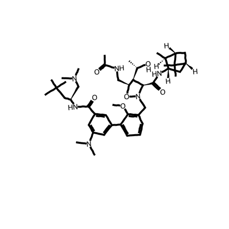 COc1c(CN2O[C@@H](CNC(C)=O)[C@@H]([C@H](C)O)[C@H]2C(=O)N[C@H]2C[C@H]3C[C@@H]([C@@H]2C)C3(C)C)cccc1-c1cc(C(=O)N[C@H](CN(C)C)CC(C)(C)C)cc(N(C)C)c1